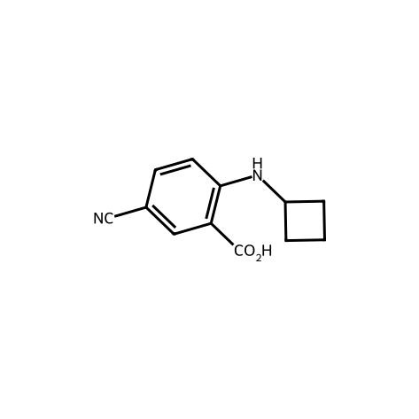 N#Cc1ccc(NC2CCC2)c(C(=O)O)c1